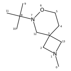 CN1CC2(CCON(C(C)(C)C)C2)C1